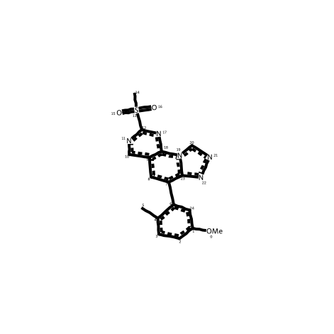 COc1ccc(C)c(-c2cc3cnc(S(C)(=O)=O)nc3n3cnnc23)c1